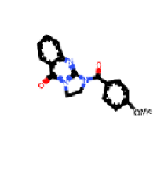 COc1ccc(C(=O)N2CCn3c2nc2ccccc2c3=O)cc1